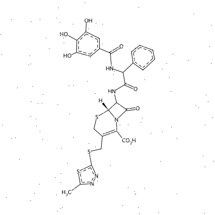 Cc1nnc(SCC2=C(C(=O)O)N3C(=O)C(NC(=O)C(NC(=O)c4cc(O)c(O)c(O)c4)c4ccccc4)[C@H]3SC2)s1